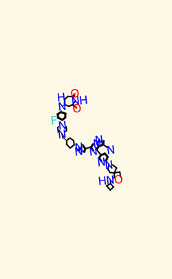 CCC1(C(=O)NC2CCC2)CCN(c2ccc(-c3nc(-c4cnn([C@H]5CC[C@H](CN6CCN(c7ccc(N[C@H]8CCC(=O)NC(=O)C8)cc7F)CC6)CC5)c4)cn4ncc(C#N)c34)cn2)CC1